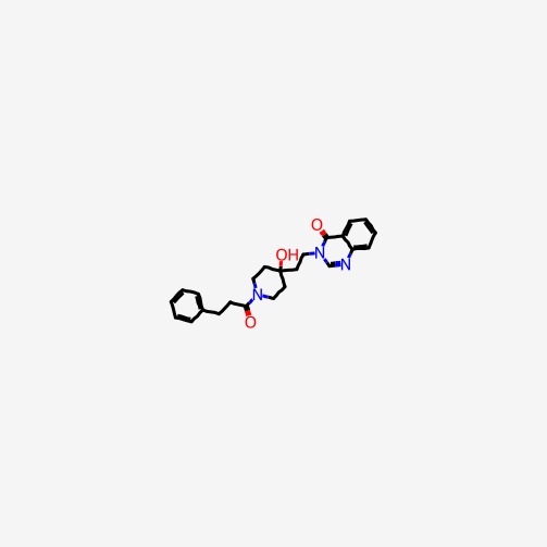 O=C(CCc1ccccc1)N1CCC(O)(CCn2cnc3ccccc3c2=O)CC1